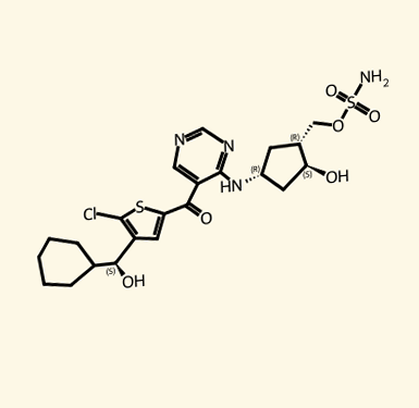 NS(=O)(=O)OC[C@H]1C[C@@H](Nc2ncncc2C(=O)c2cc([C@@H](O)C3CCCCC3)c(Cl)s2)C[C@@H]1O